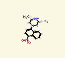 C[C@@H]1CN(c2ccc([N+](=O)[O-])c3ccccc23)C[C@H](C)N1